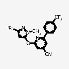 CC(C)c1cc(Oc2cc(C#N)cc(-c3ccc(C(F)(F)F)cc3)n2)n(C)n1